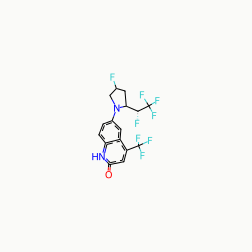 O=c1cc(C(F)(F)F)c2cc(N3CC(F)CC3[C@@H](F)C(F)(F)F)ccc2[nH]1